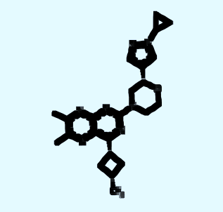 Cc1nc2nc(N3CCO[C@@H](c4cnn(C5CC5)c4)C3)nc([C@H]3C[C@@H](C(F)(F)F)C3)c2nc1C